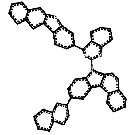 c1ccc2cc(-c3ccc4c(c3)c3c5ccccc5ccc3n4-c3nc(-c4ccc5c(c4)sc4cc6ccccc6cc45)c4ccccc4n3)ccc2c1